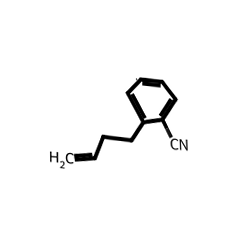 C=CCCc1c[c]ccc1C#N